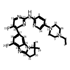 CCN1CCN(c2ccc(Nc3ncc(F)c(-c4cc(F)c5nc6n(c5c4)C(C)(C)CC6)n3)nc2)CC1